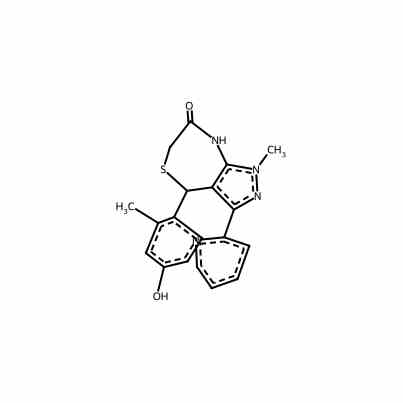 Cc1cc(O)ccc1C1SCC(=O)Nc2c1c(-c1ccccn1)nn2C